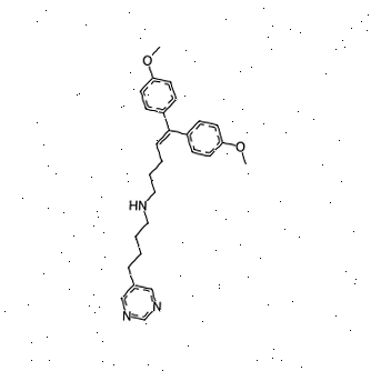 COc1ccc(C(=CCCCNCCCCc2cncnc2)c2ccc(OC)cc2)cc1